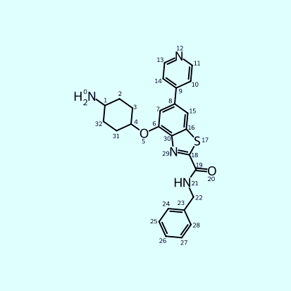 NC1CCC(Oc2cc(-c3ccncc3)cc3sc(C(=O)NCc4ccccc4)nc23)CC1